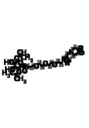 CC(C)O[C@@H]1OC(C(=O)NCCOCCOCCOCCn2cc(CN3CCS(=O)(=O)CC3)nn2)[C@@H](OC(C)C)[C@H](O)[C@@H]1O